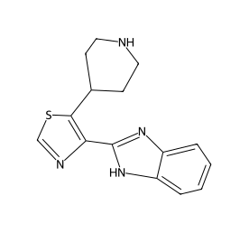 c1ccc2[nH]c(-c3ncsc3C3CCNCC3)nc2c1